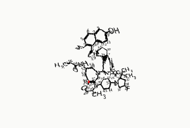 C#Cc1c(F)ccc2cc(O)cc([C@H]3CCc4c(nc(OC[C@]5(C(C)(C)C)C[C@@H](F)CN5C5CCC(N6CCOC[C@@H]6C)CC5)nc4N4CCCCC(NC(=O)C=C)C4)C3)c12